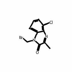 Cc1nc2c(Cl)cccc2n(CBr)c1=O